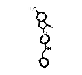 Cc1ccc2c(c1)CC([n+]1ccc(NCc3ccccc3)cc1)C2=O